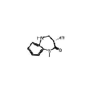 CC(C)[C@H]1CNc2ccccc2N(C)C1=O